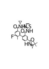 Cc1c(F)cc(C(=O)NC2CC2)cc1-c1ccc(C(=O)N[C@H](C)C(C)(C)C)cc1C(=O)Nc1nccs1